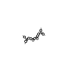 Cc1ccc(N(c2ccc3cc4c(cc3c2)oc2cc3oc5cc6cc(N(c7ccc(C)cc7)c7ccc(C)cc7C)ccc6cc5c3cc24)c2ccc(C)cc2C)cc1